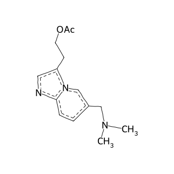 CC(=O)OCCc1cnc2ccc(CN(C)C)cn12